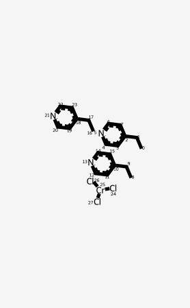 CCc1ccncc1.CCc1ccncc1.CCc1ccncc1.[Cl][Cr]([Cl])[Cl]